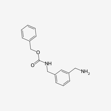 NCc1cccc(CNC(=O)OCc2ccccc2)c1